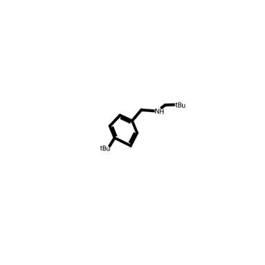 CC(C)(C)CNCc1ccc(C(C)(C)C)cc1